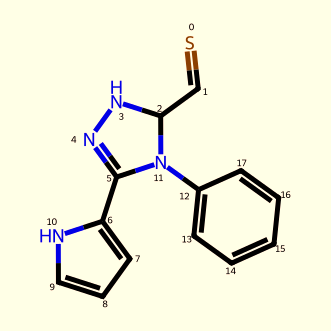 S=CC1NN=C(c2ccc[nH]2)N1c1ccccc1